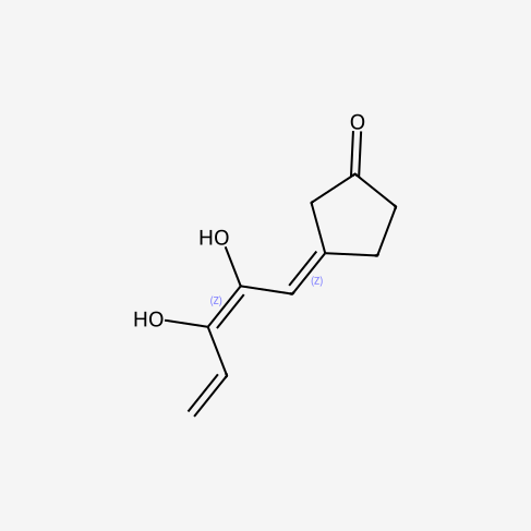 C=C/C(O)=C(O)\C=C1\CCC(=O)C1